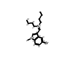 CCCC[N+](=Cc1cn(C)c2ccc(Br)cc12)CCCC